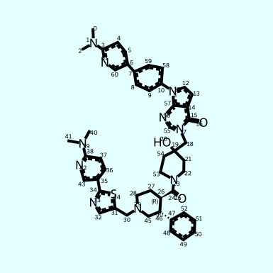 CN(C)c1ccc(-c2ccc(-n3ccc4c(=O)n(CC5(O)CCN(C(=O)[C@@H]6CCN(Cc7cnc(-c8ccc(N(C)C)nc8)s7)C[C@H]6c6ccccc6)CC5)cnc43)cc2)cn1